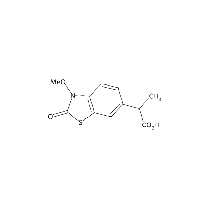 COn1c(=O)sc2cc(C(C)C(=O)O)ccc21